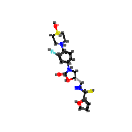 O=C1O[C@@H](CNC(=S)c2ccco2)CN1c1ccc(N2CC[S+]([O-])CC2)c(F)c1